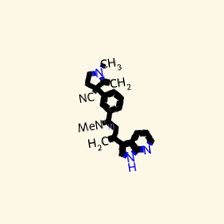 C=C(/C=C(\NC)c1cccc(C2(C#N)CCN(C)C2=C)c1)c1c[nH]c2ncccc12